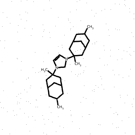 CC1CC2CC(C1)CC(C)(N1C=CN(C3(C)CC4CC(C)CC(C4)C3)C1)C2